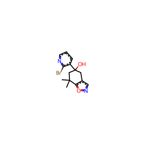 CC1(C)CC(O)(c2cccnc2Br)Cc2cnoc21